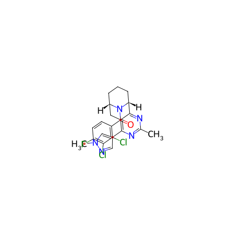 Cc1nc(-c2cnn(C)c2)c2c(n1)[C@H]1CCC[C@@H](C2)N1C(=O)c1ccc(F)c(Cl)c1Cl